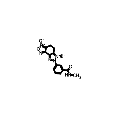 CNC(=O)c1cccc(-n2nc3c([n+]2[O-])CCc2c-3no[n+]2[O-])c1